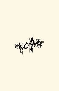 Cc1cc(OS(=O)(=O)C(F)(F)F)c(C#N)c(N2CCC(NC(=O)OC(C)(C)C)CC2)n1